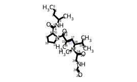 CCCC(C)NC(=O)[C@@H]1CCCN1C(=O)/C(C)=C/C(C(C)C)N(C)C(=O)CNC=O